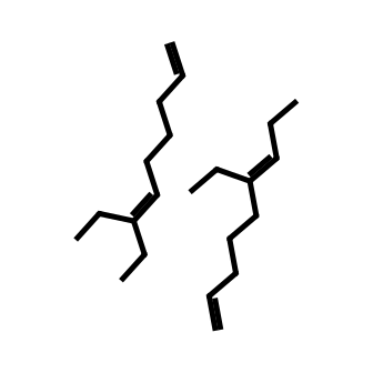 C=CCCC/C(=C/CC)CC.C=CCCCC=C(CC)CC